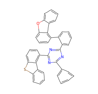 c1ccc(-c2nc(-c3ccccc3-c3cccc4oc5ccccc5c34)nc(-c3cccc4sc5ccccc5c34)n2)cc1